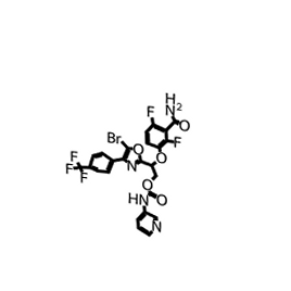 NC(=O)c1c(F)ccc(OC(COC(=O)Nc2cccnc2)c2nc(-c3ccc(C(F)(F)F)cc3)c(Br)o2)c1F